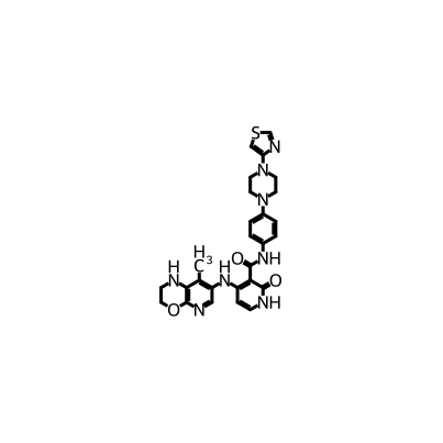 Cc1c(Nc2cc[nH]c(=O)c2C(=O)Nc2ccc(N3CCN(c4cscn4)CC3)cc2)cnc2c1NCCO2